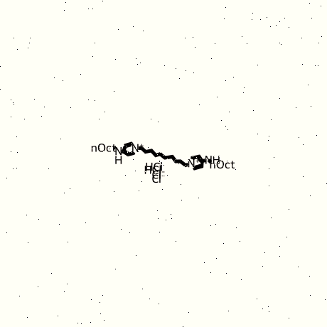 CCCCCCCCNc1cc[n+](CCCCCCCCCC[n+]2ccc(NCCCCCCCC)cc2)cc1.Cl.Cl.[Cl-].[Cl-]